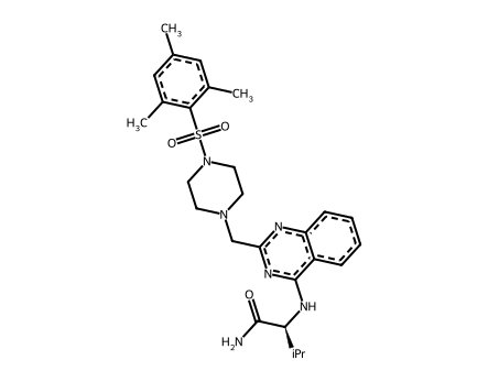 Cc1cc(C)c(S(=O)(=O)N2CCN(Cc3nc(N[C@H](C(N)=O)C(C)C)c4ccccc4n3)CC2)c(C)c1